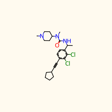 CC(NC(=O)N(C)C1CCN(C)CC1)c1ccc(C#CC2CCCC2)c(Cl)c1Cl